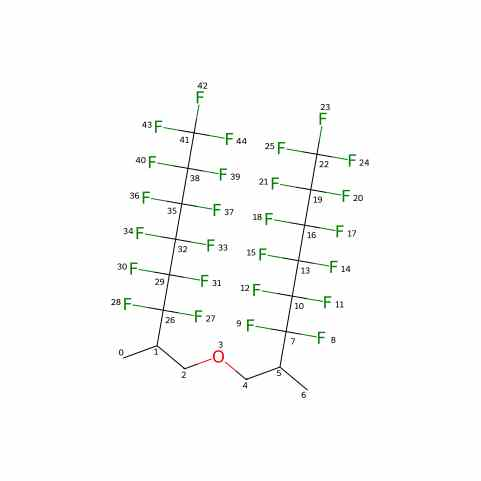 CC(COCC(C)C(F)(F)C(F)(F)C(F)(F)C(F)(F)C(F)(F)C(F)(F)F)C(F)(F)C(F)(F)C(F)(F)C(F)(F)C(F)(F)C(F)(F)F